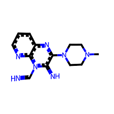 CN1CCN(c2nc3cccnc3n(C=N)c2=N)CC1